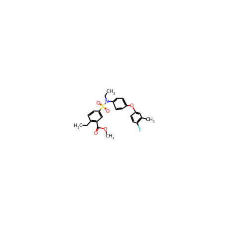 CCc1ccc(S(=O)(=O)N(CC)c2ccc(Oc3ccc(F)c(C)c3)cc2)cc1C(=O)OC